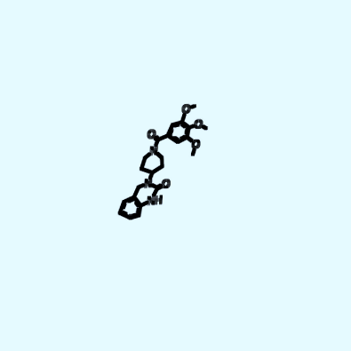 COc1cc(C(=O)N2CCC(N3Cc4ccccc4NC3=O)CC2)cc(OC)c1OC